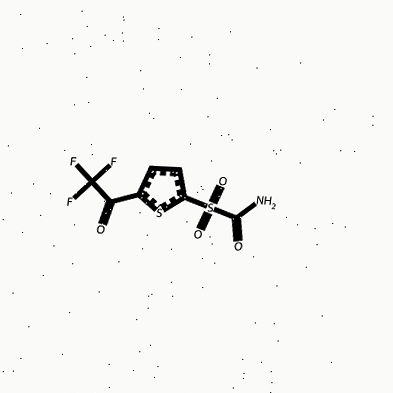 NC(=O)S(=O)(=O)c1ccc(C(=O)C(F)(F)F)s1